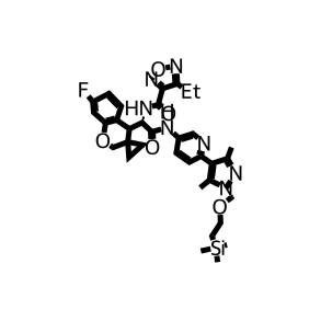 CCc1nonc1C(=O)N[C@H](C(=O)Nc1ccc(-c2c(C)nn(COCC[Si](C)(C)C)c2C)nc1)C1c2ccc(F)cc2OCC12CC2